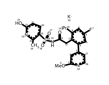 COc1cc(-c2cc(F)cc(C(C)C)c2CC(=O)NS(=O)(=O)c2ccc(O)nc2C)ccn1.[K]